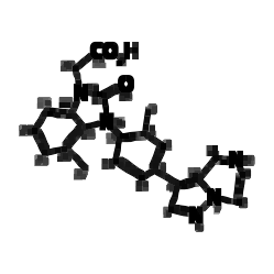 Cc1cc(-c2cnn3ccncc23)ccc1-n1c(=O)n(CC(=O)O)c2cccc(C)c21